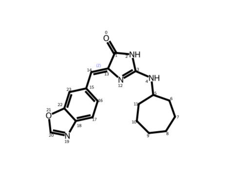 O=C1NC(NC2CCCCCC2)=N/C1=C\c1ccc2ncoc2c1